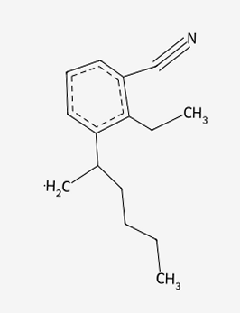 [CH2]C(CCCC)c1cccc(C#N)c1CC